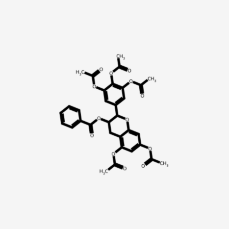 CC(=O)Oc1cc(OC(C)=O)c2c(c1)OC(c1cc(OC(C)=O)c(OC(C)=O)c(OC(C)=O)c1)C(OC(=O)c1ccccc1)C2